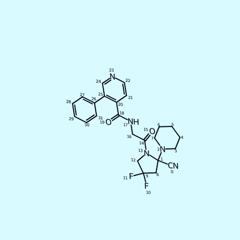 N#CC1(N2CCCCC2)CC(F)(F)CN1C(=O)CNC(=O)c1ccncc1-c1ccccc1